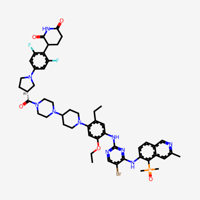 CCOc1cc(N2CCC(N3CCN(C(=O)[C@@H]4CCN(c5cc(F)c(C6CCC(=O)NC6=O)c(F)c5)C4)CC3)CC2)c(CC)cc1Nc1ncc(Br)c(Nc2ccc3cnc(C)cc3c2P(C)(C)=O)n1